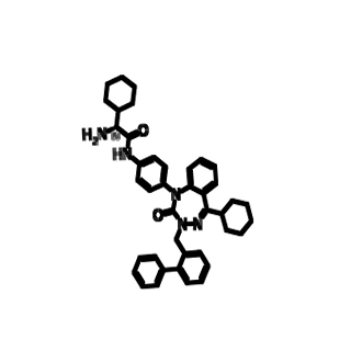 N[C@H](C(=O)Nc1ccc(N2C(=O)N(Cc3ccccc3-c3ccccc3)N=C(C3CCCCC3)c3ccccc32)cc1)C1CCCCC1